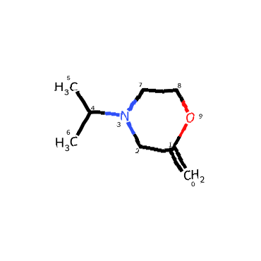 C=C1CN(C(C)C)CCO1